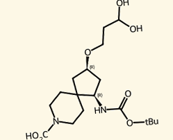 CC(C)(C)OC(=O)N[C@@H]1C[C@H](OCCC(O)O)CC12CCN(C(=O)O)CC2